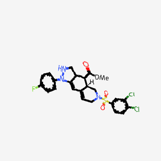 COC(=O)C1C2CNN(c3ccc(F)cc3)C2=CC2=CCN(S(=O)(=O)c3ccc(Cl)c(Cl)c3)C[C@@H]21